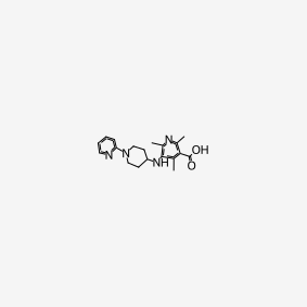 Cc1nc(C)c(C(=O)O)c(C)c1NC1CCN(c2ccccn2)CC1